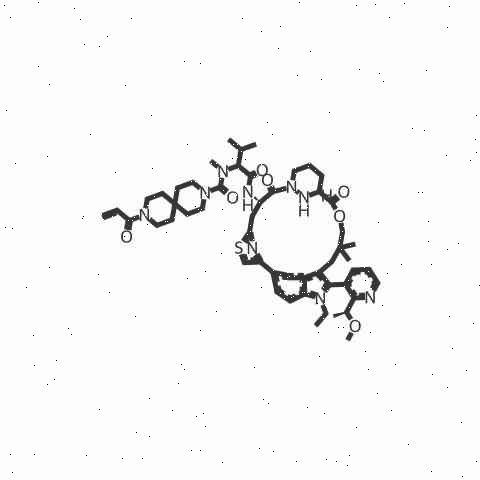 C=CC(=O)N1CCC2(CC1)CCN(C(=O)N(C)C(C(=O)N[C@H]1Cc3nc(cs3)-c3ccc4c(c3)c(c(-c3cccnc3[C@H](C)OC)n4CC)CC(C)(C)COC(=O)[C@@H]3CCCN(N3)C1=O)C(C)C)CC2